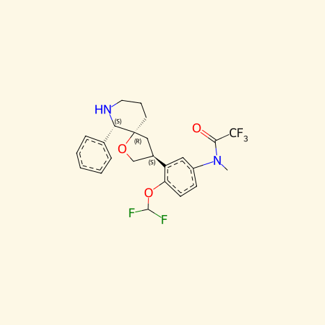 CN(C(=O)C(F)(F)F)c1ccc(OC(F)F)c([C@H]2CO[C@]3(CCCN[C@H]3c3ccccc3)C2)c1